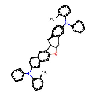 Cc1ccccc1N(c1ccccc1)c1ccc2c(c1)=CC1Oc3cc4cc(N(c5ccccc5)c5ccccc5C)ccc4cc3C1C=2